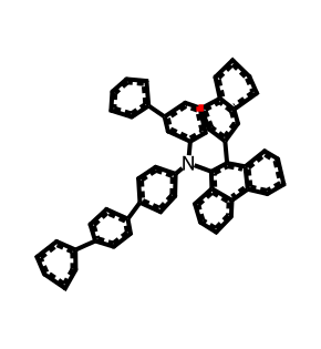 c1ccc(-c2ccc(-c3ccc(N(c4cccc(-c5ccccc5)c4)c4c(-c5ccc6ccccc6c5)c5ccccc5c5ccccc45)cc3)cc2)cc1